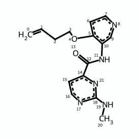 C=CCCOc1ccncc1NC(=O)c1ccnc(NC)n1